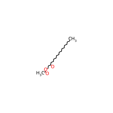 CCCCCCCCCCCCCCCC(=O)CCOC(C)=O